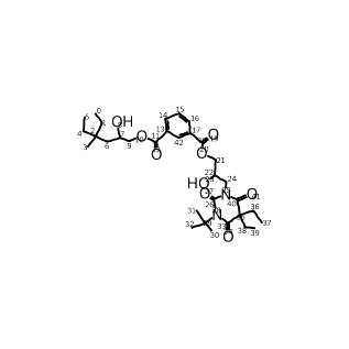 CCC(C)(CC)CC(O)COC(=O)c1cccc(C(=O)OCC(O)CN2C(=O)N(C(C)(C)C)C(=O)C(CC)(CC)C2=O)c1